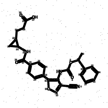 CC(OC(=O)Nc1c(C#N)noc1-c1ccc(C(=O)NC2CC2CCC(=O)O)cc1)c1ccccc1